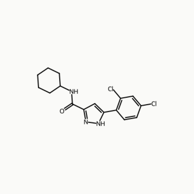 O=C(NC1CCCCC1)c1cc(-c2ccc(Cl)cc2Cl)[nH]n1